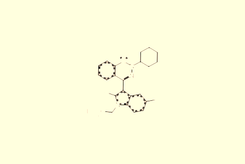 Cc1c(C2=NN(C3CCCCC3)S(=O)(=O)c3ccccc32)c2cc(F)ccc2n1CC(=O)O